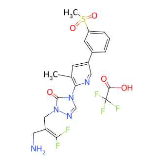 Cc1cc(-c2cccc(S(C)(=O)=O)c2)cnc1-n1cnn(CC(CN)=C(F)F)c1=O.O=C(O)C(F)(F)F